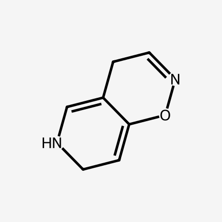 C1=NOC2=CCNC=C2C1